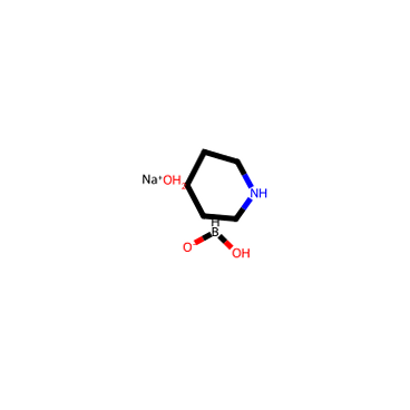 C1CCNCC1.O.[Na+].[O-]BO